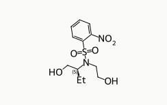 CC[C@@H](CO)N(CCO)S(=O)(=O)c1ccccc1[N+](=O)[O-]